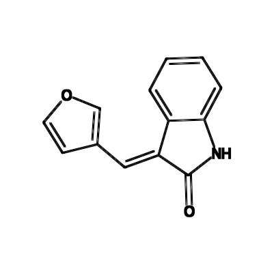 O=C1Nc2ccccc2/C1=C\c1ccoc1